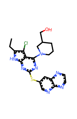 CCc1[nH]c2nc(Sc3cnc4nccnc4c3)nc(N3CCCC(CO)C3)c2c1Cl